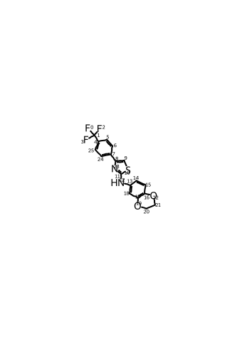 FC(F)(F)c1ccc(-c2csc(Nc3ccc4c(c3)OCCO4)n2)cc1